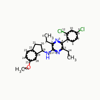 CCc1nc(-c2ccc(Cl)cc2Cl)c(CC)nc1NC1CCc2ccc(OC)cc21